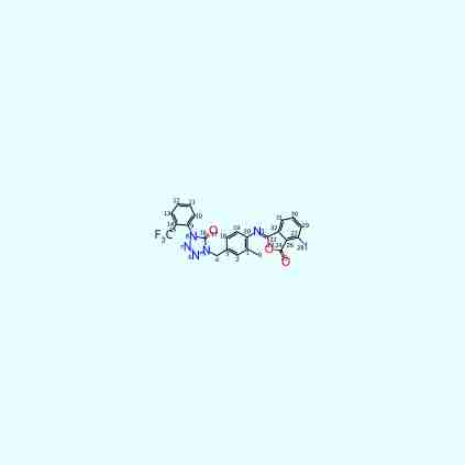 Cc1cc(Cn2nnn(-c3ccccc3C(F)(F)F)c2=O)ccc1N=C1OC(=O)c2c(I)cccc21